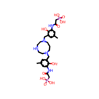 Cc1cc(CN2CCCN(Cc3cc(C)cc(NC(=O)CP(=O)(O)O)c3O)CCNCC2)c(O)c(NC(=O)CP(=O)(O)O)c1